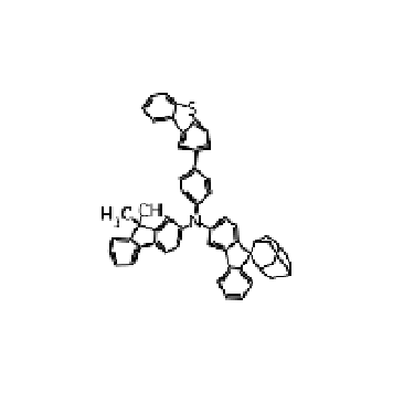 CC1(C)c2ccccc2-c2ccc(N(c3ccc(-c4ccc5sc6ccccc6c5c4)cc3)c3ccc4c(c3)-c3ccccc3C43C4CC5CC(C4)CC3C5)cc21